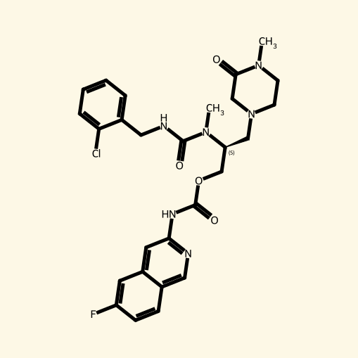 CN1CCN(C[C@@H](COC(=O)Nc2cc3cc(F)ccc3cn2)N(C)C(=O)NCc2ccccc2Cl)CC1=O